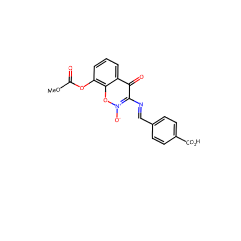 COC(=O)Oc1cccc2c(=O)c(N=Cc3ccc(C(=O)O)cc3)[n+]([O-])oc12